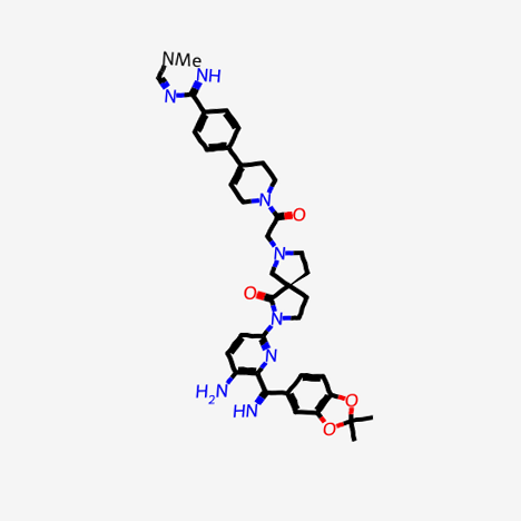 CN/C=N\C(=N)c1ccc(C2=CCN(C(=O)CN3CC[C@]4(CCN(c5ccc(N)c(C(=N)c6ccc7c(c6)OC(C)(C)O7)n5)C4=O)C3)CC2)cc1